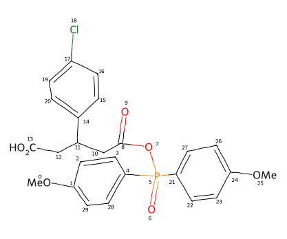 COc1ccc(P(=O)(OC(=O)CC(CC(=O)O)c2ccc(Cl)cc2)c2ccc(OC)cc2)cc1